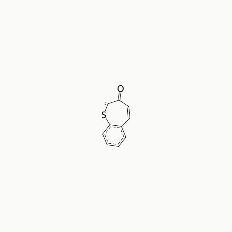 O=C1[C]Sc2ccccc2C=C1